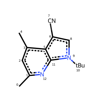 Cc1cc(C)c2c(C#N)cn(C(C)(C)C)c2n1